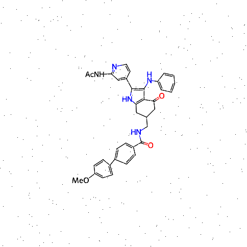 COc1ccc(-c2ccc(C(=O)NCC3CC(=O)c4c([nH]c(-c5ccnc(NC(C)=O)c5)c4Nc4ccccc4)C3)cc2)cc1